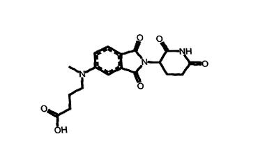 CN(CCCC(=O)O)c1ccc2c(c1)C(=O)N(C1CCC(=O)NC1=O)C2=O